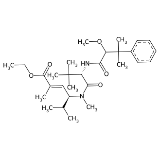 CCOC(=O)/C(C)=C/[C@H](C(C)C)N(C)C(=O)[C@@H](NC(=O)C(OC)C(C)(C)c1ccccc1)C(C)(C)C